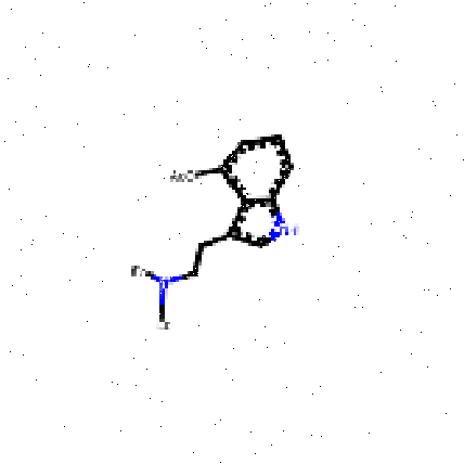 CCN(CCc1c[nH]c2cccc(OC(C)=O)c12)C(C)C